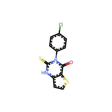 O=c1c2sccc2[nH]c(=S)n1-c1ccc(Cl)cc1